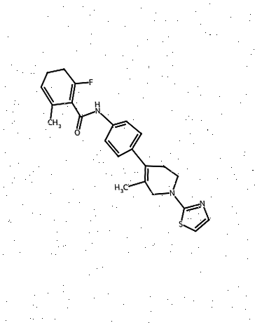 CC1=CCCC(F)=C1C(=O)Nc1ccc(C2=C(C)CN(c3nccs3)CC2)cc1